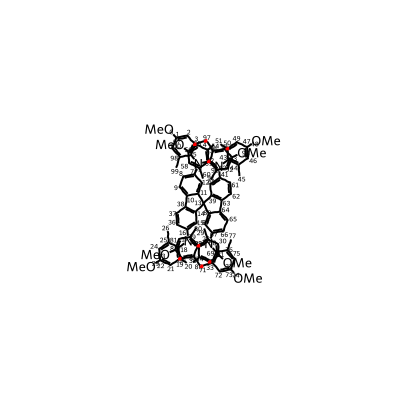 COc1cc(C)c(N(c2ccc3c(c2)C2(c4cc(N(c5c(C)cc(OC)cc5C)c5c(C)cc(OC)cc5C)ccc4-3)c3cc(N(c4c(C)cc(OC)cc4C)c4c(C)cc(OC)cc4C)ccc3-c3ccc(N(c4c(C)cc(OC)cc4C)c4c(C)cc(OC)cc4C)cc32)c2c(C)cc(OC)cc2C)c(C)c1